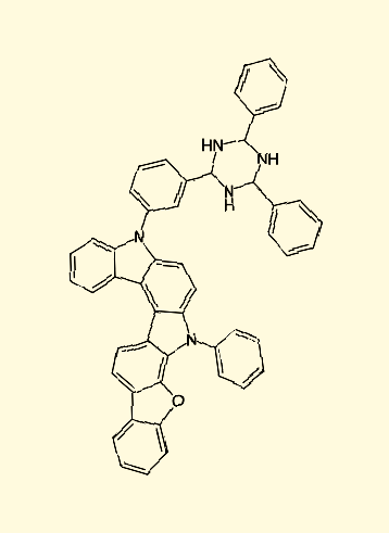 c1ccc(C2NC(c3ccccc3)NC(c3cccc(-n4c5ccccc5c5c6c7ccc8c9ccccc9oc8c7n(-c7ccccc7)c6ccc54)c3)N2)cc1